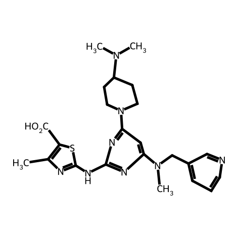 Cc1nc(Nc2nc(N(C)Cc3cccnc3)cc(N3CCC(N(C)C)CC3)n2)sc1C(=O)O